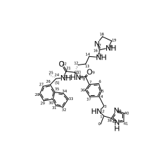 CC(NCc1ccc(C(=O)N[C@@H](CCCNC2=NCCN2)C(=O)N[C@@H](C)c2cccc3ccccc23)cc1)c1ncc[nH]1